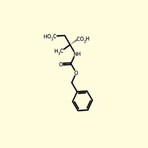 C[C@@](CC(=O)O)(NC(=O)OCc1ccccc1)C(=O)O